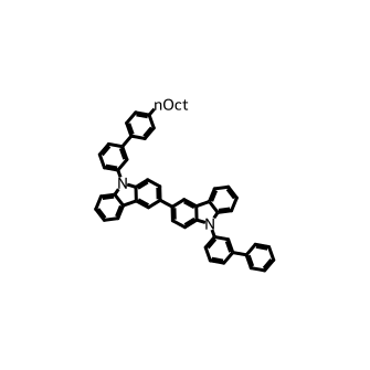 CCCCCCCCc1ccc(-c2cccc(-n3c4ccccc4c4cc(-c5ccc6c(c5)c5ccccc5n6-c5cccc(-c6ccccc6)c5)ccc43)c2)cc1